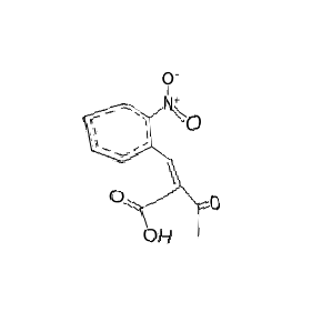 CC(=O)C(=Cc1ccccc1[N+](=O)[O-])C(=O)O